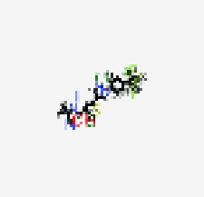 N#CC1(NC(O)c2cc(-c3cnn(-c4ccc(C(F)(C(F)(F)F)C(F)(F)F)cc4Cl)c3)sc2Cl)CC1